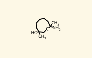 CC1(N)CCCCCC(C)(O)CC1